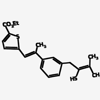 CCOC(=O)c1ccc(C=C(C)c2cccc(CC(S)=C(C)C)c2)s1